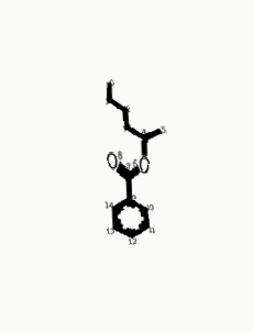 CCCCC(C)OC(=O)c1ccccc1